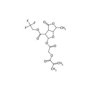 C=C(C)C(=O)OCC(=O)OC1OC2C(C)OC(=O)C2C1C(=O)OCC(F)(F)F